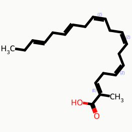 CCC=CCC=CC/C=C\C/C=C\C/C=C\C/C=C(\C)C(=O)O